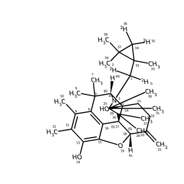 [2H]C([2H])(N1[C@@H]2C(C)(C)c3c(C)c(C)c(O)c4c3[C@]3([C@@H](O4)C(=C)CC[C@@]23O)C(C)(C)C1(C)C)C1(C)C([2H])([2H])C1(C)C